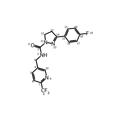 O=C(NCc1ccc(C(F)(F)F)nc1)N1CCC(c2ccc(F)cc2)=N1